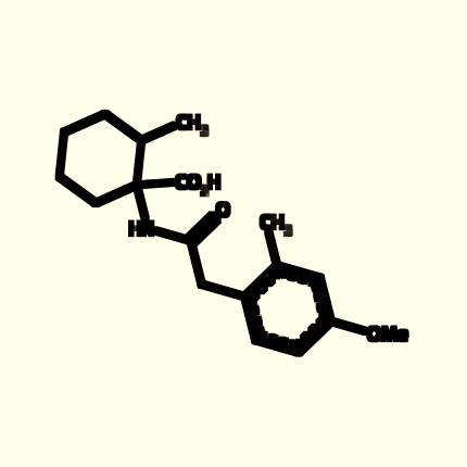 COc1ccc(CC(=O)NC2(C(=O)O)CCCCC2C)c(C)c1